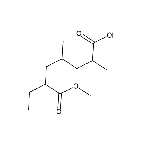 CCC(CC(C)CC(C)C(=O)O)C(=O)OC